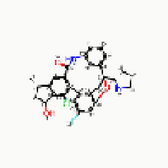 C[C@H]1C[C@H](O)c2c1cc1c(c2F)-c2c(Cl)c(F)cc3c2C[C@]([C@@H]2CCCN2)(O3)c2cccc(c2)NC1=O